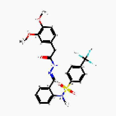 COc1ccc(CC(=O)N/N=C/c2ccccc2N(C)S(=O)(=O)c2ccc(C(F)(F)F)cc2)cc1OC